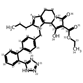 CCCc1nc2c(n1Cc1ccc(-c3ccccc3-c3nnn[nH]3)cc1)C1C(O)=C(C(=O)OCC)C(=O)N1CC2